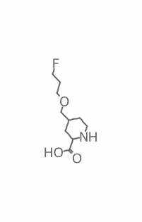 O=C(O)C1CC(COCCCF)CCN1